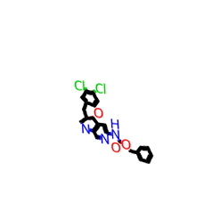 O=C(Nc1cc2c(cn1)N=CC(Cc1ccc(Cl)c(Cl)c1)C2=O)OCc1ccccc1